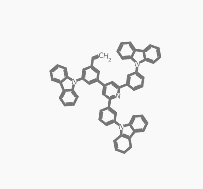 C=Cc1cc(-c2cc(-c3cccc(-n4c5c(c6ccccc64)CCC=C5)c3)nc(-c3cccc(-n4c5ccccc5c5ccccc54)c3)c2)cc(-n2c3ccccc3c3ccccc32)c1